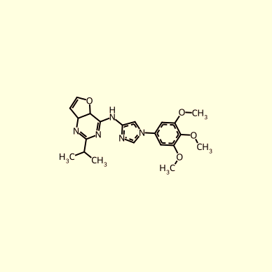 COc1cc(-n2cnc(NC3=NC(C(C)C)=NC4C=COC34)c2)cc(OC)c1OC